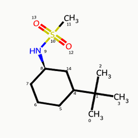 CC(C)(C)C1CCC[C@@H](NS(C)(=O)=O)C1